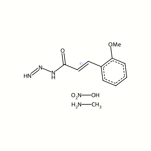 CN.COc1ccccc1/C=C/C(=O)NN=N.O=[N+]([O-])O